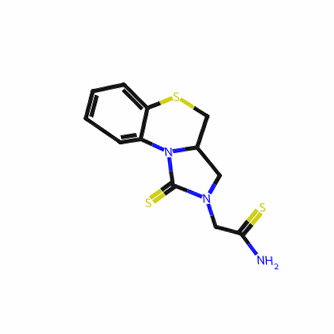 NC(=S)CN1CC2CSc3ccccc3N2C1=S